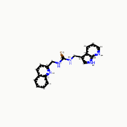 S=C(NCc1ccc2ccccc2n1)NCc1c[nH]c2ncccc12